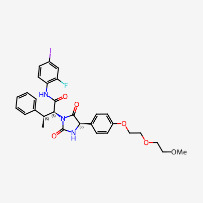 COCCOCCOc1ccc([C@H]2NC(=O)N([C@H](C(=O)Nc3ccc(I)cc3F)[C@@H](C)c3ccccc3)C2=O)cc1